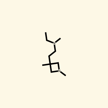 CCN(C)CCC1(C)CN(C)C1